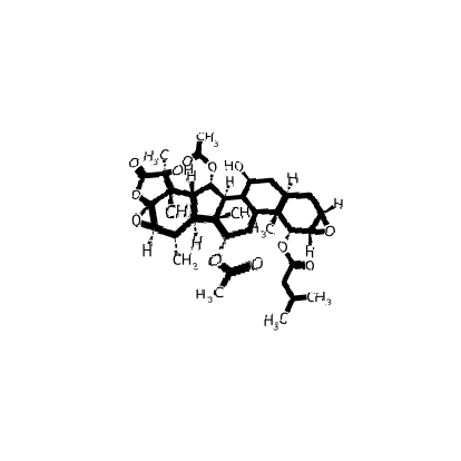 CC(=O)O[C@H]1[C@@H]2[C@H]([C@H](C)[C@H]3O[C@]34OC(=O)[C@@](C)(O)[C@]24C)[C@@]2(C)[C@@H](OC(C)=O)CC3C([C@H]12)[C@@H](O)C[C@H]1C[C@@H]2O[C@@H]2[C@H](OC(=O)CC(C)C)[C@]31C